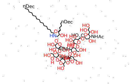 CCCCCCCCCCCCC/C=C/[C@@H](O)[C@H](CO[C@@H]1OC(CO)[C@@H](O[C@@H]2OC(CO)[C@H](O)[C@H](O[C@@H]3OC(CO)[C@@H](O[C@@H]4OC(CO)[C@H](O)[C@H](O[C@@H]5OC(CO)[C@@H](O[C@@H]6OC(CO[C@]7(C(=O)O)CC(O)[C@@H](NC(C)=O)C([C@H](O)[C@H](O)CO)O7)[C@H](O)[C@H](O)C6O)[C@H](O)C5NC(C)=O)C4O)[C@H](O)C3NC(C)=O)C2O)[C@H](O)C1O)NC(=O)CCCCCCCCCCCCCCCCCCCCCCCCC